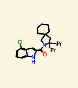 CC(C)C1(C(C)C)CC2(CCCCC2)CN1C(=O)c1cc2c(Cl)cccc2[nH]1